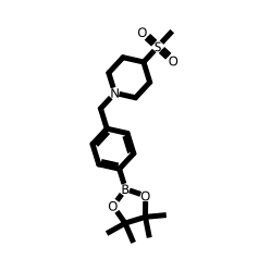 CC1(C)OB(c2ccc(CN3CCC(S(C)(=O)=O)CC3)cc2)OC1(C)C